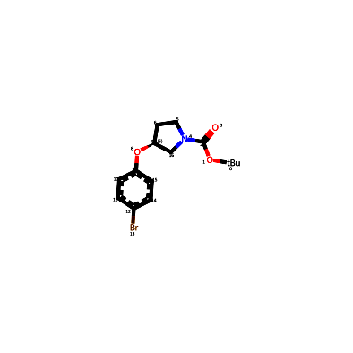 CC(C)(C)OC(=O)N1CC[C@H](Oc2ccc(Br)cc2)C1